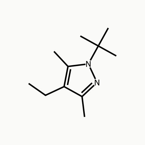 CCc1c(C)nn(C(C)(C)C)c1C